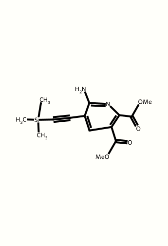 COC(=O)c1cc(C#C[Si](C)(C)C)c(N)nc1C(=O)OC